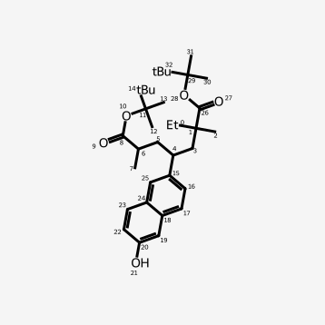 CCC(C)(CC(CC(C)C(=O)OC(C)(C)C(C)(C)C)c1ccc2cc(O)ccc2c1)C(=O)OC(C)(C)C(C)(C)C